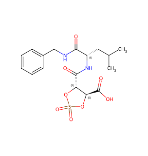 CC(C)C[C@H](NC(=O)[C@H]1OS(=O)(=O)O[C@@H]1C(=O)O)C(=O)NCc1ccccc1